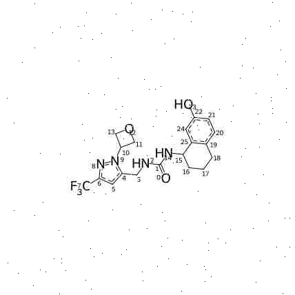 O=C(NCc1cc(C(F)(F)F)nn1C1COC1)NC1CCCc2ccc(O)cc21